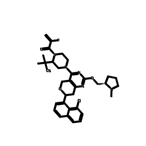 C=C(F)C(=O)N1CCN(c2nc(OC[C@@H]3CCCN3C)nc3c2COC(c2cccc4cccc(Cl)c24)C3)CC1C(C)(C)C#N